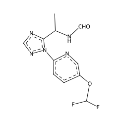 CC(NC=O)c1ncnn1-c1ccc(OC(F)F)cn1